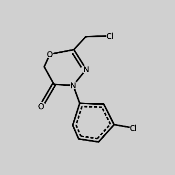 O=C1COC(CCl)=NN1c1cccc(Cl)c1